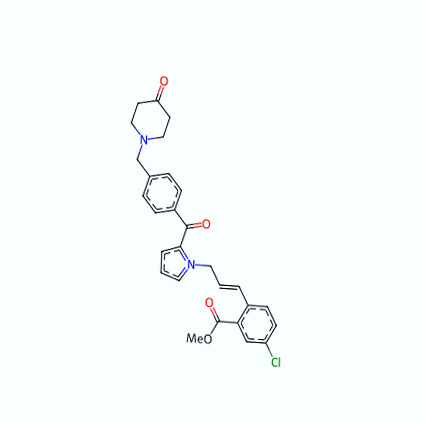 COC(=O)c1cc(Cl)ccc1/C=C/Cn1cccc1C(=O)c1ccc(CN2CCC(=O)CC2)cc1